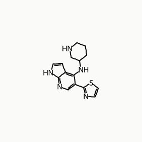 c1csc(-c2cnc3[nH]ccc3c2NC2CCCNC2)n1